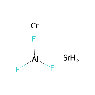 [Cr].[F][Al]([F])[F].[SrH2]